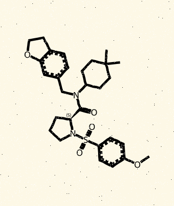 COc1ccc(S(=O)(=O)N2CCC[C@H]2C(=O)N(Cc2ccc3c(c2)OCC3)C2CCC(C)(C)CC2)cc1